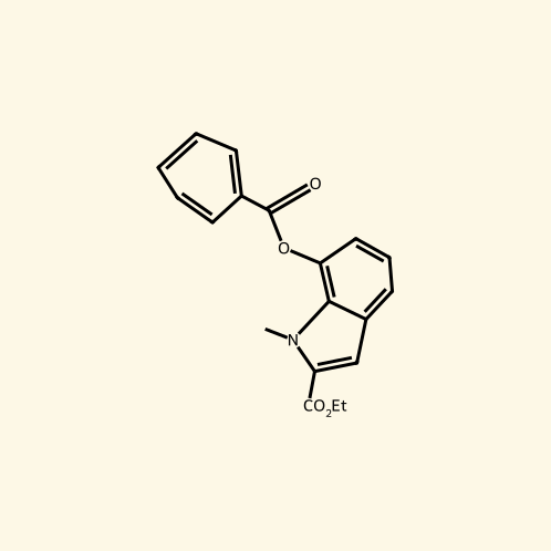 CCOC(=O)c1cc2cccc(OC(=O)c3ccccc3)c2n1C